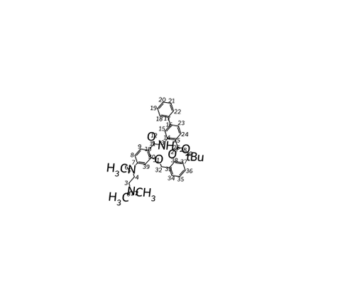 CN(C)CCN(C)c1ccc(C(=O)Nc2cc(-c3ccccc3)ccc2C(=O)OC(C)(C)C)c(OCc2ccccc2)c1